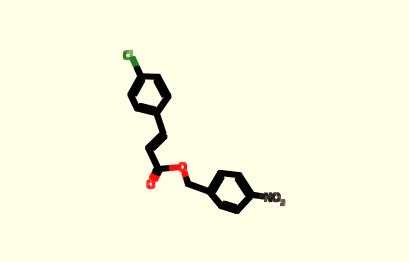 O=C(C=Cc1ccc(Cl)cc1)OCc1ccc([N+](=O)[O-])cc1